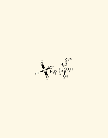 O.O.O.O=S(=O)(O)O.O=S(=O)([O-])[O-].[Ca+2]